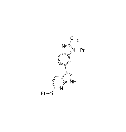 CCOc1ccc2c(-c3cc4c(cn3)nc(C)n4C(C)C)c[nH]c2n1